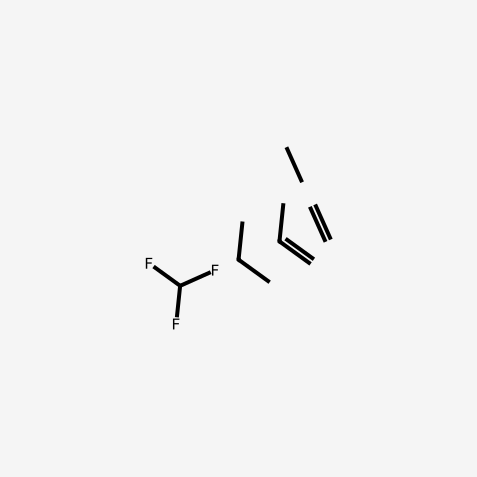 C=C.C=CC.CC.CCC.FC(F)F